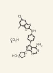 CC(=O)O.Cc1cc(Cl)cc2nc(Nc3ccc(-c4cn([C@@H]5CC[C@H](O)C5)c5ncnc(N)c45)cc3)oc12